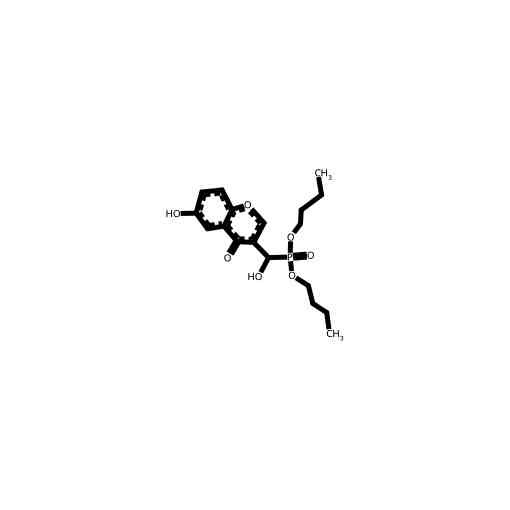 CCCCOP(=O)(OCCCC)C(O)c1coc2ccc(O)cc2c1=O